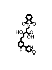 COc1ccc(-c2cc(CCC(O)C(CCN3C(=O)c4ccccc4C3=O)C(=O)O)ccc2F)cn1